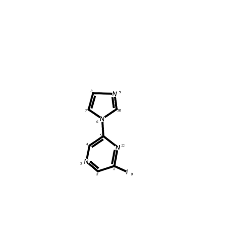 Ic1cncc(-n2ccnc2)n1